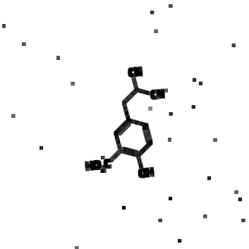 N#CC(C#N)Cc1ccc(O)c(C(=O)O)c1